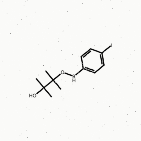 CC(C)(O)C(C)(C)OBc1ccc(I)cc1